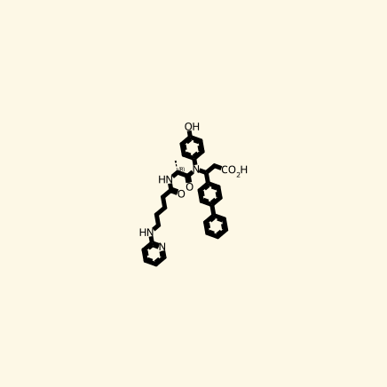 C[C@@H](NC(=O)CCCCNc1ccccn1)C(=O)N(c1ccc(O)cc1)C(CC(=O)O)c1ccc(-c2ccccc2)cc1